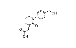 O=C(O)CN1CCCN(c2ccc(CO)cc2)C1=O